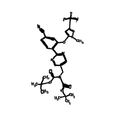 Cn1nc(C(F)(F)F)cc1Oc1cc(C#N)ccc1-c1ncc(CN(C(=O)OC(C)(C)C)C(=O)OC(C)(C)C)cn1